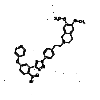 COc1cc2c(cc1OC)CN(CCc1ccc(-n3nnc(-c4cc(Oc5ccncc5)ccc4[N+](=O)[O-])n3)cc1)CC2